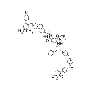 CC1(C)CCC(c2ccc(Cl)cc2)=C(CN2CCN3c4ccc(C(=O)NS(=O)(=O)c5ccc(N[C@H](CCN6CCC(CN7CCN(C(=O)c8ccc(N9CCC(=O)NC9=O)cc8)CC7)CC6)CSc6ccccc6)c(S(=O)(=O)C(F)(F)F)c5)cc4CCC3C2)C1